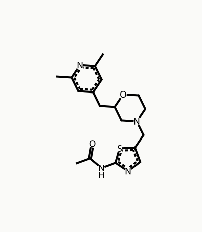 CC(=O)Nc1ncc(CN2CCOC(Cc3cc(C)nc(C)c3)C2)s1